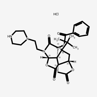 CC(C)(C)[C@]1(O)C[C@@H]2OC(=O)C[C@@]23C(=O)O[C@@H]2N(CCN4CCNCC4)C(=O)[C@@H](OC(=O)c4ccccc4)[C@]213.Cl